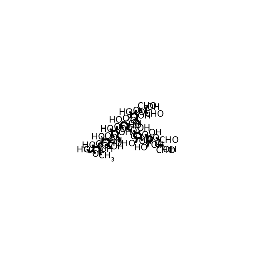 CC1OC(CO)C(O)C(OC2OC(CO)C(O)C(OC3OC(CO)C(O)C(OC4OC(COC5OC(CO)C(O)C(OC6OC(CO)C(O)C(OC(C=O)OC(C=O)CO)C6O)C5O)C(O)C(OC5OC(CO)C(O)C(OC(C=O)OC(C=O)CO)C5O)C4O)C3O)[C@@H]2O)[C@@H]1O